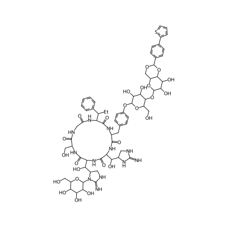 CCC(c1ccccc1)C1NC(=O)CNC(=O)C(CO)NC(=O)C(C(O)C2CNC(=N)N2C2OC(CO)C(O)C(O)C2O)NC(=O)C(C(O)C2CNC(=N)N2)NC(=O)C(Cc2ccc(OC3OC(CO)C(OC4OC5COC(c6ccc(-c7cccs7)cc6)OC5C(O)C4O)C(O)C3O)cc2)NC1=O